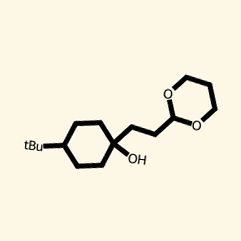 CC(C)(C)C1CCC(O)(CCC2OCCCO2)CC1